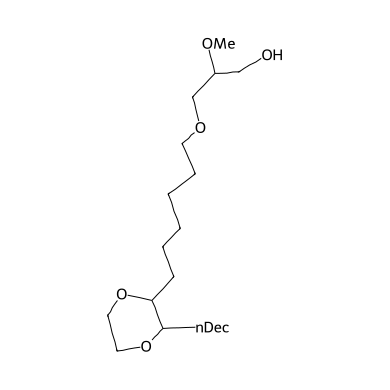 CCCCCCCCCCC1OCCOC1CCCCCCOCC(CO)OC